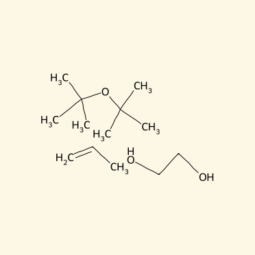 C=CC.CC(C)(C)OC(C)(C)C.OCCO